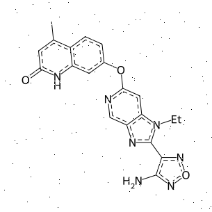 CCn1c(-c2nonc2N)nc2cnc(Oc3ccc4c(C)cc(=O)[nH]c4c3)cc21